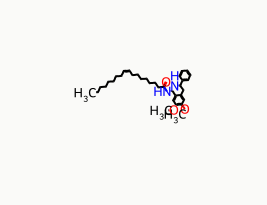 CCCCCCCC/C=C\CCCCCCCC(=O)NC1NC(c2ccccc2)Cc2cc(OC)c(OC)cc21